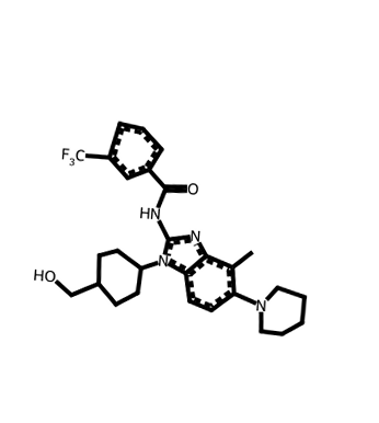 Cc1c(N2CCCCC2)ccc2c1nc(NC(=O)c1cccc(C(F)(F)F)c1)n2C1CCC(CO)CC1